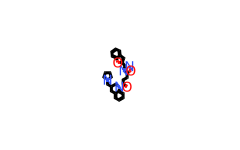 O=C(CCc1nc(-c2cc3ccccc3o2)no1)N1CC(CN2CCCC2)Cc2ccccc21